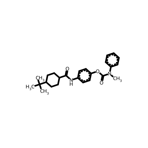 CN(C(=O)Oc1ccc(NC(=O)C2CCC(C(C)(C)C)CC2)cc1)c1ccccc1